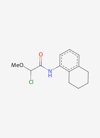 COC(Cl)C(=O)Nc1cccc2c1CCCC2